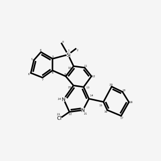 C[Si]1(C)c2ccccc2-c2c1ccc1c(-c3ccccc3)nc(Cl)nc21